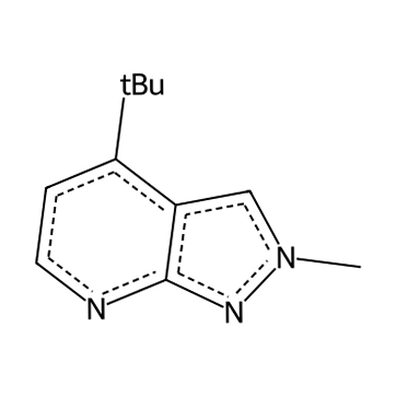 Cn1cc2c(C(C)(C)C)ccnc2n1